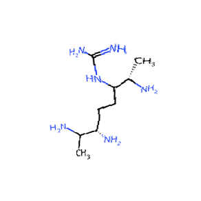 CC(N)[C@@H](N)CCC(NC(=N)N)[C@H](C)N